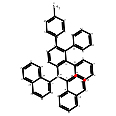 Nc1ccc(-c2ccc(N(c3cccc4ccccc34)c3cccc4ccccc34)c(-c3ccccc3)c2-c2ccccc2)cc1